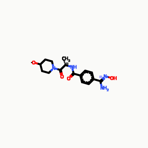 C[C@H](NC(=O)c1ccc(/C(N)=N/O)cc1)C(=O)N1CCC([O])CC1